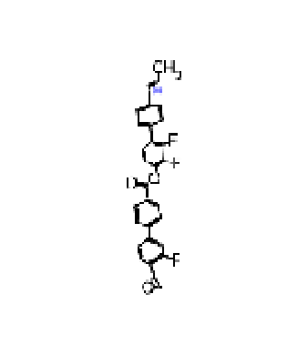 C/C=C/c1ccc(-c2ccc(OC(=O)c3ccc(-c4ccc(C5CO5)c(F)c4)cc3)c(F)c2F)cc1